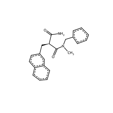 CN(Cc1ccccc1)C(=O)[C@@H](Cc1ccc2ccccc2c1)C(N)=O